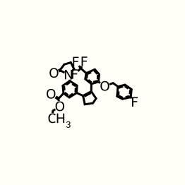 CCOC(=O)c1cc(C2=C(c3cc(C(F)(F)F)ccc3OCc3ccc(F)cc3)CCC2)cc(N2CCCC2=O)c1